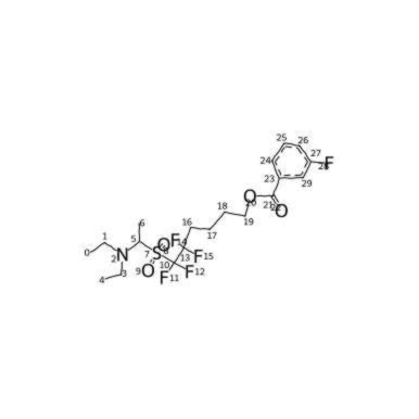 CCN(CC)C(C)S(=O)(=O)C(F)(F)C(F)(F)CCCCOC(=O)c1cccc(F)c1